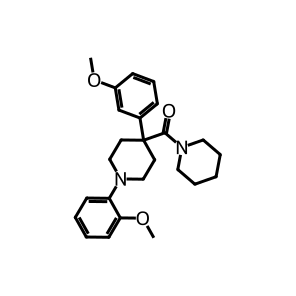 COc1cccc(C2(C(=O)N3CCCCC3)CCN(c3ccccc3OC)CC2)c1